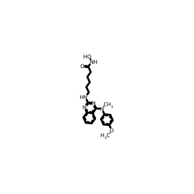 COc1ccc(N(C)c2nc(NCCCCCC(=O)NO)nc3ccccc23)cc1